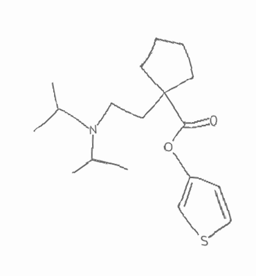 CC(C)N(CCC1(C(=O)Oc2ccsc2)CCCC1)C(C)C